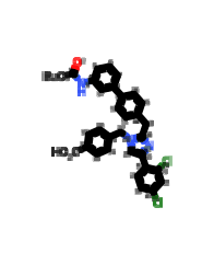 CC(C)COC(=O)Nc1cccc(-c2ccc(Cc3nc(-c4ccc(Cl)cc4Cl)cn3Cc3ccc(C(=O)O)cc3)cc2)c1